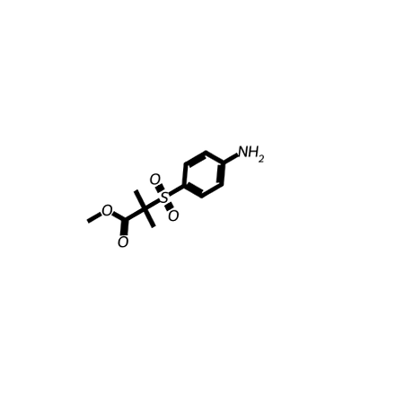 COC(=O)C(C)(C)S(=O)(=O)c1ccc(N)cc1